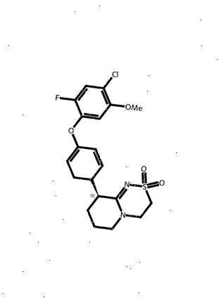 COc1cc(OC2=CCC([C@@H]3CCCN4CCS(=O)(=O)N=C34)C=C2)c(F)cc1Cl